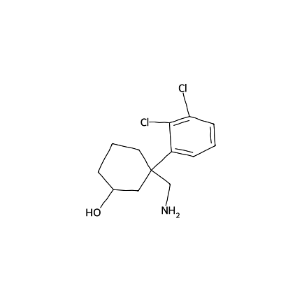 NCC1(c2cccc(Cl)c2Cl)CCCC(O)C1